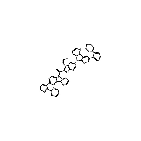 C=C(c1oc2ccc(-n3c4ccc(-c5ccccc5-c5ccccn5)cc4c4ncccc43)cc2c1/C=C\C)n1c2ccc(-c3ccccc3-c3ccccn3)cc2c2ncccc21